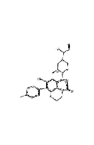 C=CC(O)N1CCN(c2nc(=O)n3c4c(c(-c5ccc(F)cc5)c(Cl)cc24)SCC3)[C@@H](C)C1